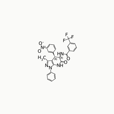 Cc1nn(-c2ccccc2)c2c1[C@@H](c1cccc([N+](=O)[O-])c1)[C@@H](NC(=O)c1cccc(C(F)(F)F)c1)C(=O)N2